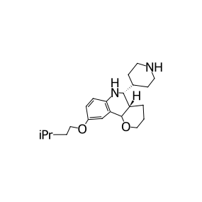 CC(C)CCOc1ccc2c(c1)C1OCCC[C@H]1[C@@H](C1CCNCC1)N2